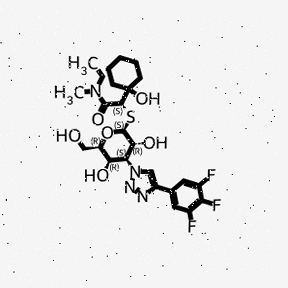 CCN(C)C(=O)[C@@H](S[C@@H]1O[C@H](CO)[C@H](O)[C@H](n2cc(-c3cc(F)c(F)c(F)c3)nn2)[C@H]1O)C1(O)CCCCC1